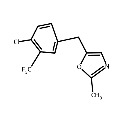 Cc1ncc(Cc2ccc(Cl)c(C(F)(F)F)c2)o1